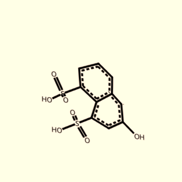 O=S(=O)(O)c1cccc2[c]c(O)cc(S(=O)(=O)O)c12